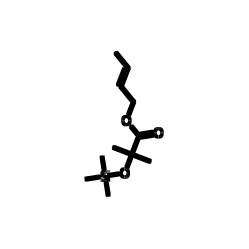 CC=CCOC(=O)C(C)(C)O[Si](C)(C)C